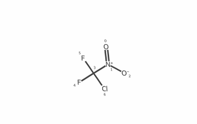 O=[N+]([O-])C(F)(F)Cl